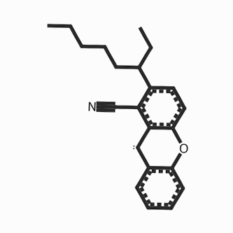 CCCCCC(CC)c1ccc2c(c1C#N)[C]c1ccccc1O2